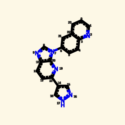 c1cnc2ccc(-n3cnc4ccc(-c5cn[nH]c5)nc43)cc2c1